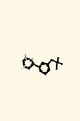 CC(C)(C)Cc1cccc(-c2cncnc2)c1